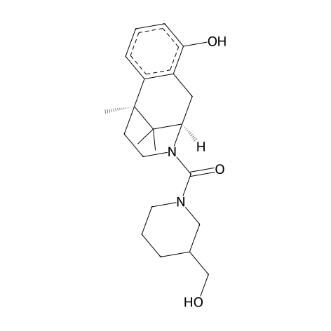 CC1(C)[C@H]2Cc3c(O)cccc3[C@]1(C)CCN2C(=O)N1CCCC(CO)C1